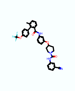 Cc1cccc(C(=O)Nc2cccc(OC3CCN(C(=O)Nc4cccc(C#N)c4)CC3)c2)c1-c1ccc(OC(F)(F)F)cc1